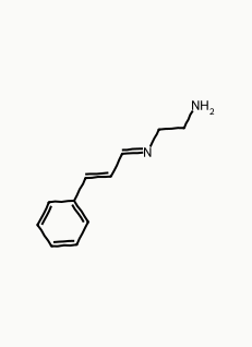 NCCN=C/C=C/c1ccccc1